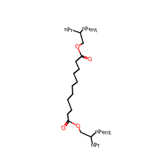 CCCCCC(CCC)COC(=O)CCCCCCCCCC(=O)OCC(CCC)CCCCC